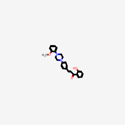 COc1ccccc1N1CCN(c2ccc(/C=C/C(=O)c3ccccc3O)cc2)CC1